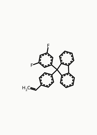 C=Cc1ccc(C2(c3cc(F)cc(F)c3)c3ccccc3-c3ccccc32)cc1